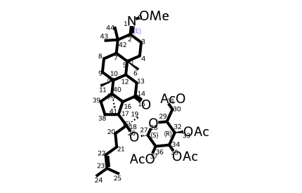 CO/N=C1\CC[C@@]2(C)C(CC[C@]3(C)C2CC(=O)C2C([C@](C)(CCC=C(C)C)O[C@@H]4OC(COC(C)=O)[C@@H](OC(C)=O)C(OC(C)=O)C4OC(C)=O)CC[C@]23C)C1(C)C